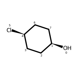 O[C@H]1CC[C@@H](Cl)CC1